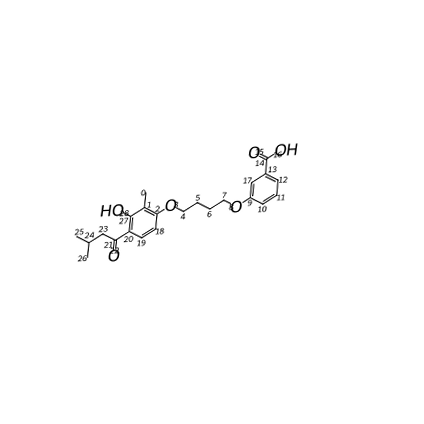 Cc1c(OCCCCOc2cccc(C(=O)O)c2)ccc(C(=O)CC(C)C)c1O